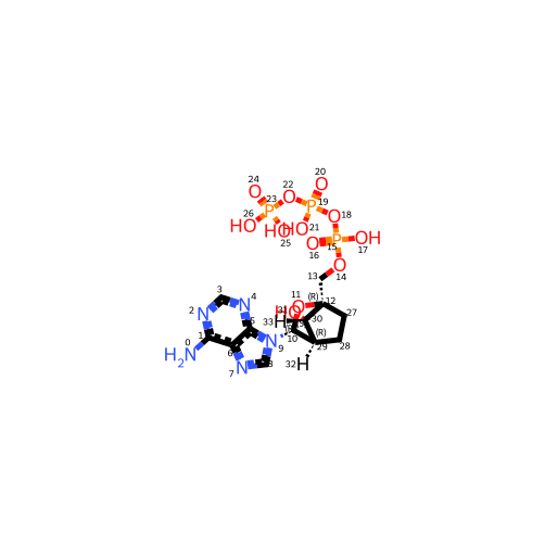 Nc1ncnc2c1ncn2[C@@H]1O[C@@]2(COP(=O)(O)OP(=O)(O)OP(=O)(O)O)CC[C@@H]1[C@@H]2O